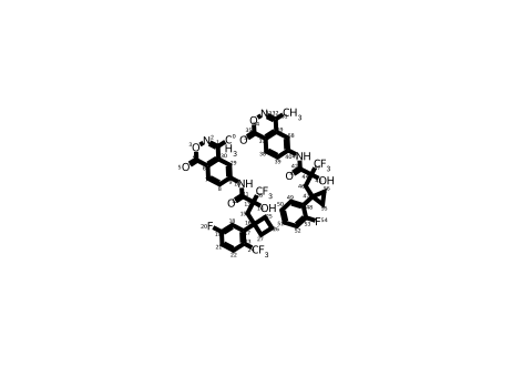 Cc1noc(=O)c2ccc(NC(=O)C(O)(CC3(c4cc(F)ccc4C(F)(F)F)CCC3)C(F)(F)F)cc12.Cc1noc(=O)c2ccc(NC(=O)C(O)(CC3(c4ccccc4F)CC3)C(F)(F)F)cc12